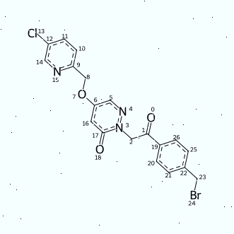 O=C(Cn1ncc(OCc2ccc(Cl)cn2)cc1=O)c1ccc(CBr)cc1